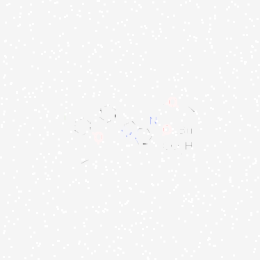 C=CCOC1(C)CCN(c2c(C(OC(C)(C)C)C(=O)O)c(C)cn3nc(-c4cccc(-c5cc(F)ccc5OC(C)CC=C)c4)cc23)CC1